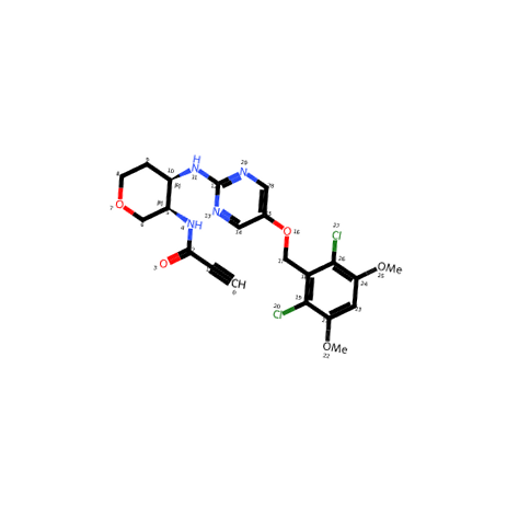 C#CC(=O)N[C@H]1COCC[C@H]1Nc1ncc(OCc2c(Cl)c(OC)cc(OC)c2Cl)cn1